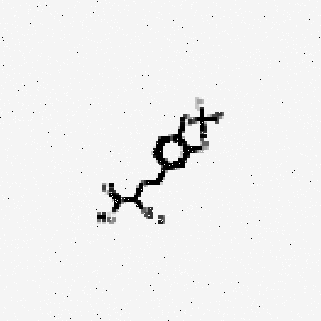 NC(CCc1ccc(OC(F)(F)F)c(F)c1)C(=O)O